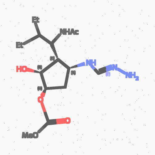 CCC(CC)C(NC(C)=O)[C@H]1[C@@H](O)[C@H](OC(=O)OC)C[C@H]1N/C=N/N